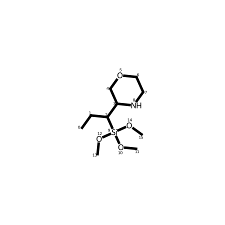 CCC(C1COCCN1)[Si](OC)(OC)OC